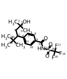 CC(C)(O)CC(c1ccc(C(=O)NS(=O)(=O)C(F)(F)F)cc1)C(C)(C)C